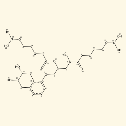 CC(C)(C)N(CC(COc1cccc2c1C[C@@H](O)[C@@H](O)C2)OC(=O)COCCON(O)O)C(=O)COCCON(O)O